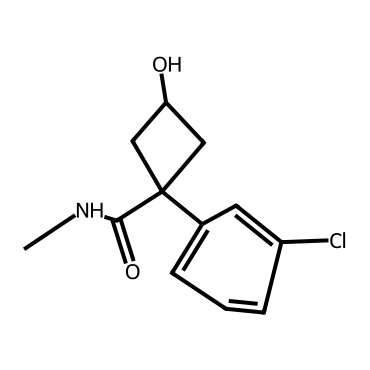 CNC(=O)C1(c2cccc(Cl)c2)CC(O)C1